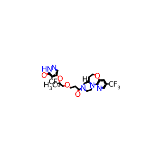 C[C@@H](COCCC(=O)N1CCN2c3ncc(C(F)(F)F)cc3OCC[C@H]2C1)Oc1cn[nH]c(=O)c1C(F)(F)F